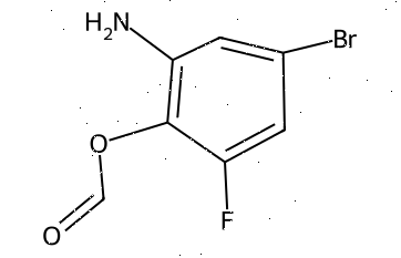 Nc1cc(Br)cc(F)c1OC=O